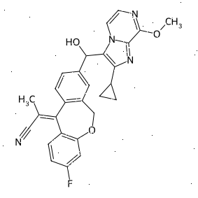 COc1nccn2c(C(O)c3ccc4c(c3)COc3cc(F)ccc3C4=C(C)C#N)c(C3CC3)nc12